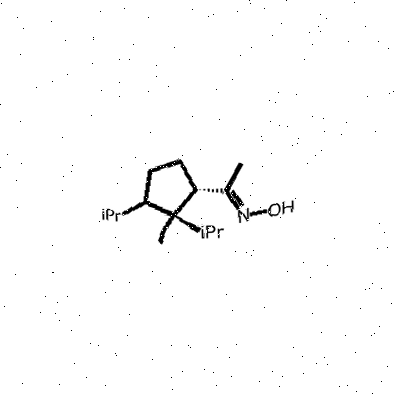 C/C(=N\O)[C@H]1CCC(C(C)C)[C@]1(C)C(C)C